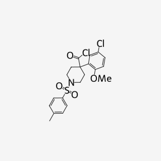 COc1ccc(Cl)cc1C1(C(=O)Cl)CCN(S(=O)(=O)c2ccc(C)cc2)CC1